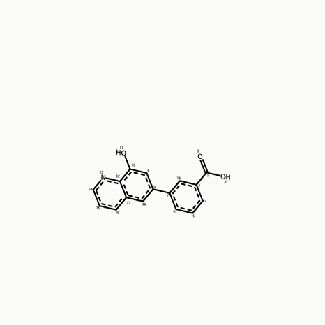 O=C(O)c1cccc(-c2cc(O)c3ncccc3c2)c1